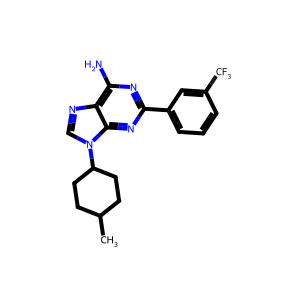 CC1CCC(n2cnc3c(N)nc(-c4cccc(C(F)(F)F)c4)nc32)CC1